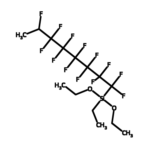 CCO[Si](CC)(OCC)C(F)(F)C(F)(F)C(F)(F)C(F)(F)C(F)(F)C(F)(F)C(C)F